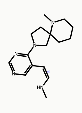 CN/C=C\c1cncnc1N1CCC2(CCCCN2C)C1